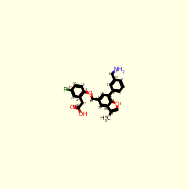 Cc1coc2c(-c3cccc(CN)c3)cc(COc3ccc(F)cc3CC(=O)O)cc12